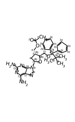 CC(=O)OC[C@H]1C[C@H](n2cnc3c(N)nc(N)nc32)O[C@@H]1CO[Si](c1ccccc1)(c1ccccc1)C(C)(C)C